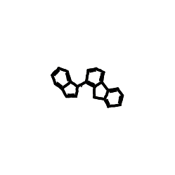 C1=Cc2ccccc2[C]1c1cccc2c1Cc1ccccc1-2